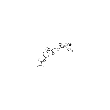 C=C(C)C(=O)OC1CCC(CC)(OC(=O)COC(=O)CC(O)(C(F)(F)F)C(F)(F)F)CC1